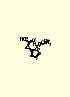 O.O=C(O)Oc1ccco1.[CaH2].[Cu]